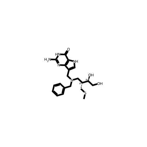 CSC[C@H](CN(Cc1ccccc1)Cc1c[nH]c2c(=O)[nH]c(N)nc12)[C@@H](O)CO